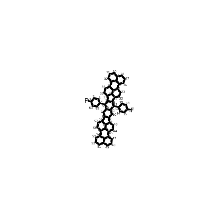 Fc1ccc(-c2c3cc4c(cc3c(-c3ccc(F)cc3)c3c5ccc6c7cccc8cccc(c9ccc(c23)c5c96)c87)c2ccc3c5cccc6cccc(c7ccc4c2c73)c65)cc1